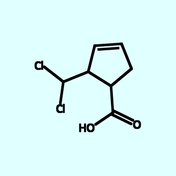 O=C(O)C1CC=CC1C(Cl)Cl